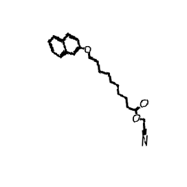 N#CCOC(=O)CCCCCCCCCOc1ccc2ccccc2c1